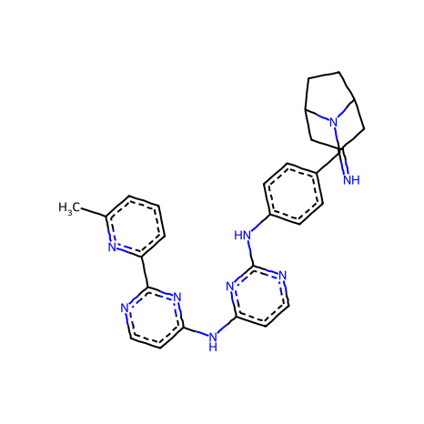 Cc1cccc(-c2nccc(Nc3ccnc(Nc4ccc(CN5C6CCC5CC(=N)C6)cc4)n3)n2)n1